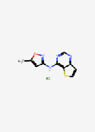 Cc1cc(Nc2ncnc3ccsc23)no1.Cl